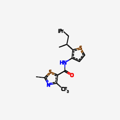 Cc1nc(C(F)(F)F)c(C(=O)Nc2ccsc2C(C)CC(C)C)s1